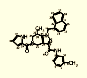 Cc1cccc(NC(=O)c2nn(Cc3cccc4ccccc34)c3c2CN(C(=O)c2ccc[nH]2)C[C@H]3C)c1